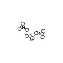 c1cc(-c2cccc3c2sc2c(-c4cccc(-n5c6ccccc6c6ccccc65)c4)ccnc23)cc(-n2c3ccccc3c3ccccc32)c1